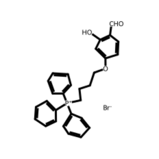 O=Cc1ccc(OCCCC[P+](c2ccccc2)(c2ccccc2)c2ccccc2)cc1O.[Br-]